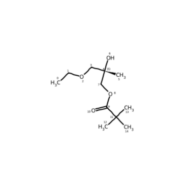 CCOC[C@](C)(O)COC(=O)C(C)(C)C